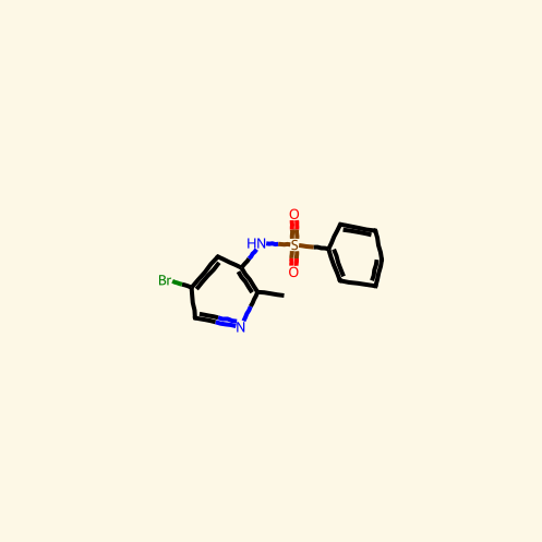 Cc1ncc(Br)cc1NS(=O)(=O)c1ccccc1